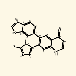 Cc1nnc(-c2nc3[nH]ccc(=O)c3cc2-c2ccc3ncsc3c2)[nH]1